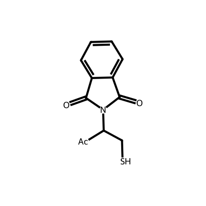 CC(=O)C(CS)N1C(=O)c2ccccc2C1=O